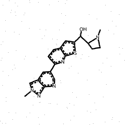 CN1CCC1C(O)c1cc2ccc(-c3cnc4nn(C)cc4c3)nc2s1